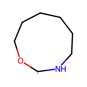 [CH]1NCCCCCCO1